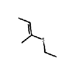 C/C=C(\C)SCC